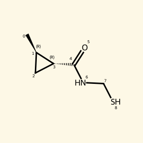 C[C@@H]1C[C@H]1C(=O)NCS